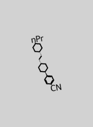 CCC[C@H]1CC[C@H](CC[C@H]2CC[C@H](c3ccc(C#N)cc3)CC2)CC1